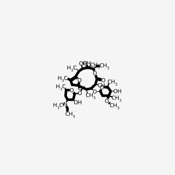 CC[C@H]1OC(=O)[C@H](C)[C@@H](O[C@H]2C[C@@](C)(OC)[C@@H](O)[C@H](C)O2)[C@H](C)[C@@H](O[C@@H]2O[C@H](C)C[C@H](N(C)CC)[C@H]2O)[C@]2(C)CC(C)=C(O2)[C@H](C)[C@@H](O)[C@]1(C)O